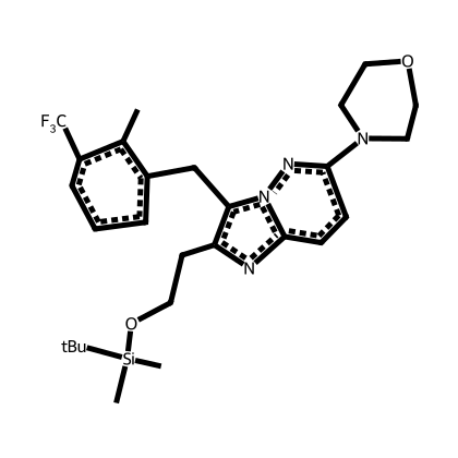 Cc1c(Cc2c(CCO[Si](C)(C)C(C)(C)C)nc3ccc(N4CCOCC4)nn23)cccc1C(F)(F)F